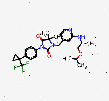 CC(C)OC[C@H](C)Nc1cc(CN2C(=O)N(c3ccc(C4(C(F)(F)F)CC4)cc3)C(=O)C2(C)C)ccn1